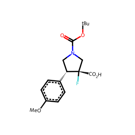 COc1ccc([C@@H]2CN(C(=O)OC(C)(C)C)C[C@@]2(F)C(=O)O)cc1